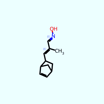 CC(/C=N/O)=C\C1CC2C=CC1C2